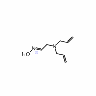 C=CCN(CC=C)C/C=N/O